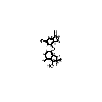 Cc1ccc(Oc2cc(F)cc3[nH]ncc23)c2c1C(O)C(F)(F)C2